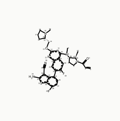 C=CC(=O)N1CC[C@@H](N(C)c2nc(OC[C@@H]3CCCN3C)nc3cc(-c4ccc(F)c5sc(N)c(C#N)c45)c(F)cc23)[C@H]1C